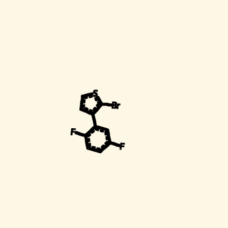 Fc1ccc(F)c(-c2ccsc2Br)c1